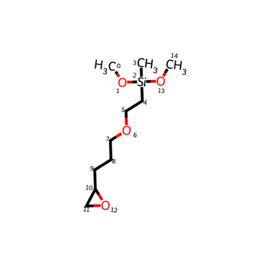 CO[Si](C)(CCOCCCC1CO1)OC